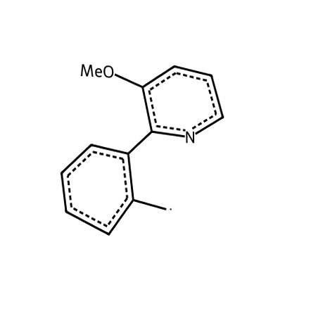 [CH2]c1ccccc1-c1ncccc1OC